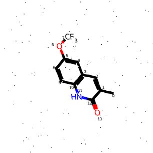 Cc1cc2cc(OC(F)(F)F)ccc2[nH]c1=O